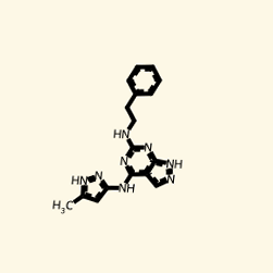 Cc1cc(Nc2nc(NCCc3ccccc3)nc3[nH]ncc23)n[nH]1